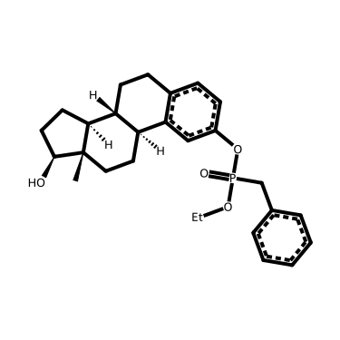 CCOP(=O)(Cc1ccccc1)Oc1ccc2c(c1)[C@H]1CC[C@]3(C)[C@@H](O)CC[C@H]3[C@@H]1CC2